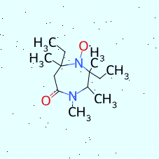 CCC1(C)CC(=O)N(C)C(C)C(C)(CC)N1[O]